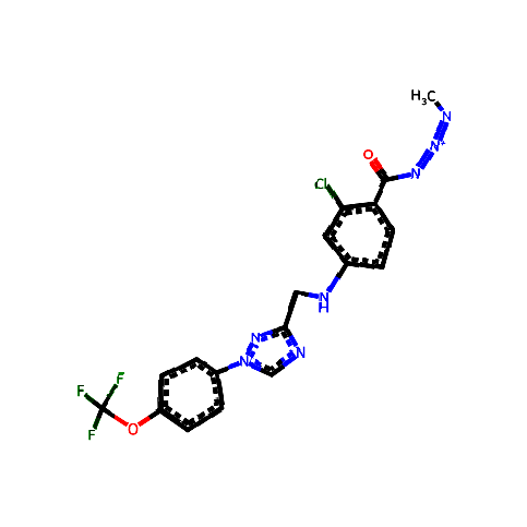 CN=[N+]=NC(=O)c1ccc(NCc2ncn(-c3ccc(OC(F)(F)F)cc3)n2)cc1Cl